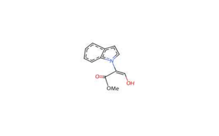 COC(=O)C(=CO)n1ccc2ccccc21